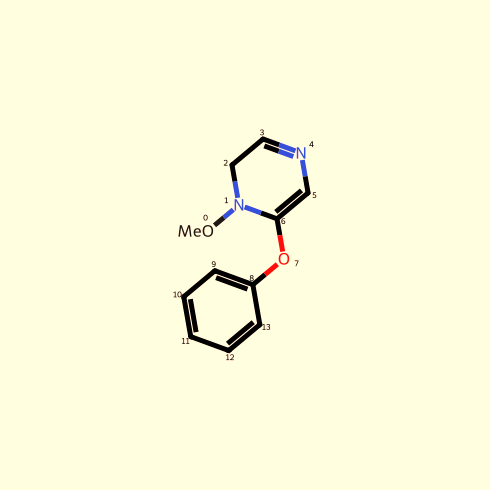 CON1CC=NC=C1Oc1ccccc1